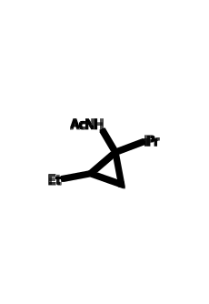 CCC1CC1(NC(C)=O)C(C)C